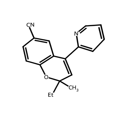 CCC1(C)C=C(c2ccccn2)c2cc(C#N)ccc2O1